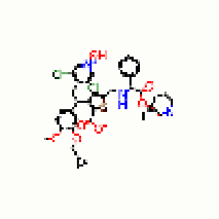 COc1ccc(C(Cc2c(Cl)c[n+](O)cc2Cl)c2cc(CNC(C(=O)O[C@H]3CN4CCC3CC4)c3ccccc3)sc2C(=O)[O-])cc1OCC1CC1